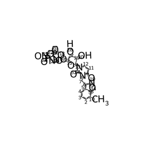 Cc1cccc2c(Cn3c(=O)ccn([C@@H]4O[C@H](COP(=O)(N=O)OP(=O)(N=O)N=O)[C@H](O)[C@@H]4O)c3=O)noc12